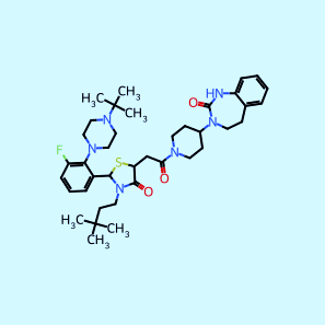 CC(C)(C)CCN1C(=O)C(CC(=O)N2CCC(N3CCc4ccccc4NC3=O)CC2)SC1c1cccc(F)c1N1CCN(C(C)(C)C)CC1